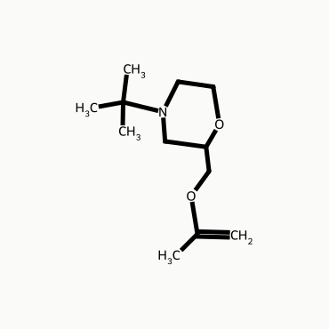 C=C(C)OCC1CN(C(C)(C)C)CCO1